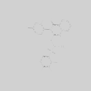 Cc1ccc(-n2c(CN(C)S(=O)(=O)c3ccc(F)c(F)c3F)nc3ccccc3c2=O)c(C)c1